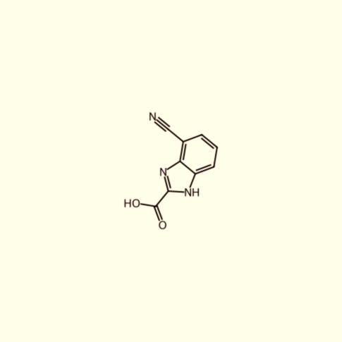 N#Cc1cccc2[nH]c(C(=O)O)nc12